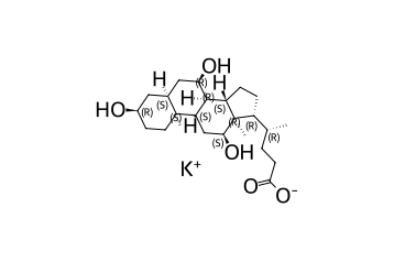 C[C@H](CCC(=O)[O-])[C@H]1CC[C@H]2[C@@H]3[C@H](O)C[C@@H]4C[C@H](O)CC[C@]4(C)[C@H]3C[C@H](O)[C@]12C.[K+]